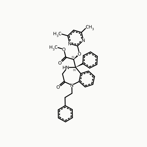 COC(=O)[C@@H](Oc1nc(C)cc(C)n1)[C@@]1(c2ccccc2)NCC(=O)N(CCc2ccccc2)c2ccccc21